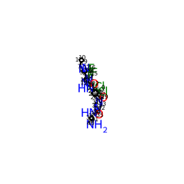 Cl.Cn1c(-c2cn(CC3CCC3)nc2C(F)(F)F)cnc1C(=O)Nc1ccc(C(=O)N2CCN(C(=O)N[C@H]3C[C@@H](N)C3)CC2)c(Cl)c1